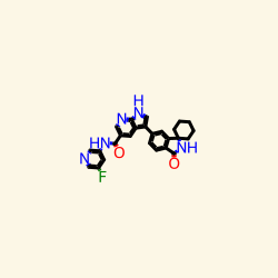 O=C(Nc1cncc(F)c1)c1cnc2[nH]cc(-c3ccc4c(c3)C3(CCCCC3)NC4=O)c2c1